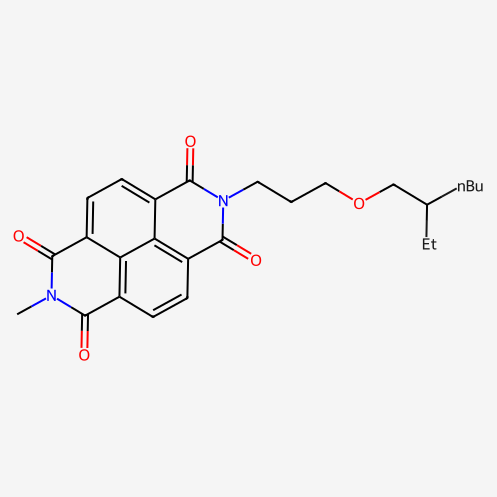 CCCCC(CC)COCCCN1C(=O)c2ccc3c4c(ccc(c24)C1=O)C(=O)N(C)C3=O